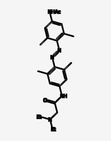 CCN(CC)CC(=O)Nc1cc(C)c(/N=N/c2c(C)cc(NC(C)=O)cc2C)c(C)c1